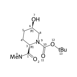 CNC(=O)[C@H]1CC[C@@H](O)CN1C(=O)OC(C)(C)C